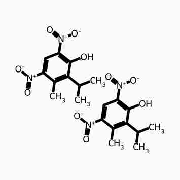 Cc1c([N+](=O)[O-])cc([N+](=O)[O-])c(O)c1C(C)C.Cc1c([N+](=O)[O-])cc([N+](=O)[O-])c(O)c1C(C)C